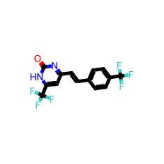 O=c1nc(/C=C/c2ccc(C(F)(F)F)cc2)cc(C(F)(F)F)[nH]1